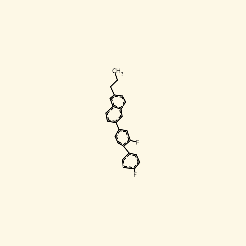 CCCc1ccc2cc(-c3ccc(-c4ccc(F)cc4)c(F)c3)ccc2c1